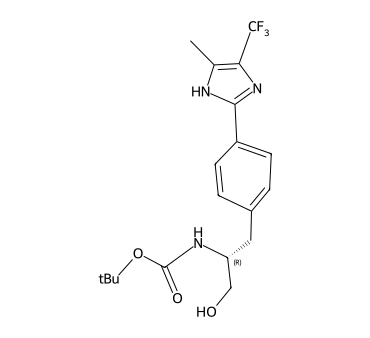 Cc1[nH]c(-c2ccc(C[C@H](CO)NC(=O)OC(C)(C)C)cc2)nc1C(F)(F)F